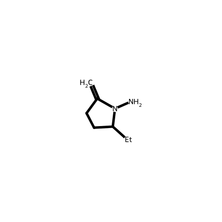 C=C1CCC(CC)N1N